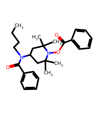 CCCCN(C(=O)c1ccccc1)C1CC(C)(C)N(OC(=O)c2ccccc2)C(C)(C)C1